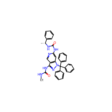 CCNC(=O)Nc1nn(C(c2ccccc2)(c2ccccc2)c2ccccc2)c2cc(NC(=O)N[C@H](C)c3ccccc3)ncc12